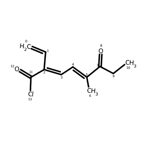 C=C/C(=C\C=C(/C)C(=O)CC)C(=O)Cl